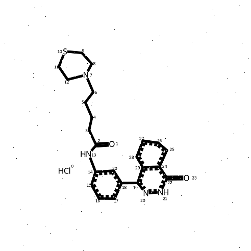 Cl.O=C(CCCCN1CCSCC1)Nc1cccc(-c2n[nH]c(=O)c3ccccc23)c1